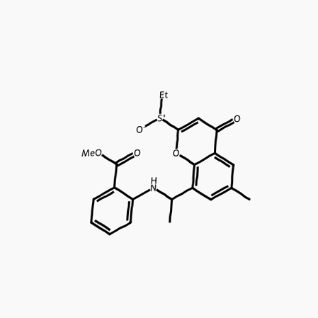 CC[S+]([O-])c1cc(=O)c2cc(C)cc(C(C)Nc3ccccc3C(=O)OC)c2o1